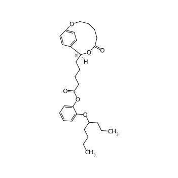 CCCCC(CCC)Oc1ccccc1OC(=O)CCCC[C@@H]1OC(=O)CCCCOc2ccc1cc2